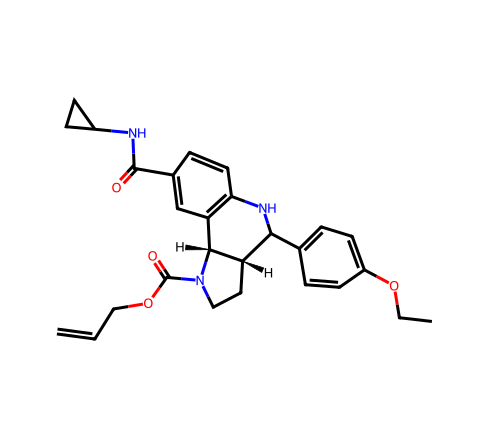 C=CCOC(=O)N1CC[C@H]2C(c3ccc(OCC)cc3)Nc3ccc(C(=O)NC4CC4)cc3[C@H]21